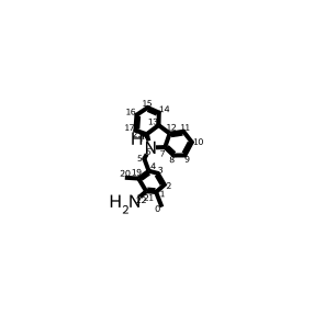 Cc1ccc(CN2c3ccccc3C3C=CC=C[C@H]32)c(C)c1N